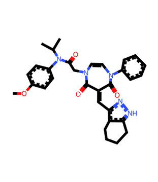 COc1ccc(N(C(=O)CN2C=CN(c3ccccc3)C(=O)C(=Cc3n[nH]c4c3CCCC4)C2=O)C(C)C)cc1